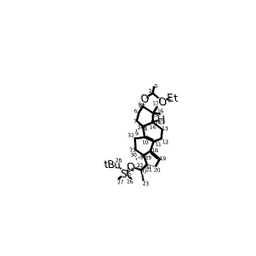 CCOC(C)O[C@H]1CC[C@]2(C)C3=C(CC[C@H]2C1(C)C)C1=CC[C@H]([C@@H](C)O[Si](C)(C)C(C)(C)C)[C@@]1(C)CC3